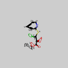 CC(C)(C)OC(=O)C(=O)C(Cl)Sc1ccccn1